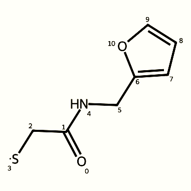 O=C(C[S])NCc1ccco1